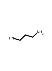 [NH]CCCN